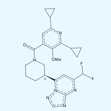 COc1c(C(=O)N2CCC[C@H](c3cc(C(F)F)nc4ncnn34)C2)cc(C2CC2)nc1C1CC1